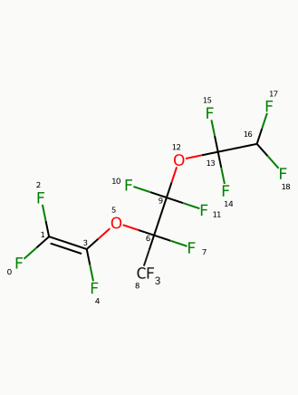 FC(F)=C(F)OC(F)(C(F)(F)F)C(F)(F)OC(F)(F)C(F)F